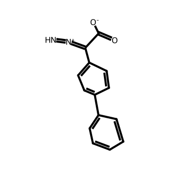 N=[N+]=C(C(=O)[O-])c1ccc(-c2ccccc2)cc1